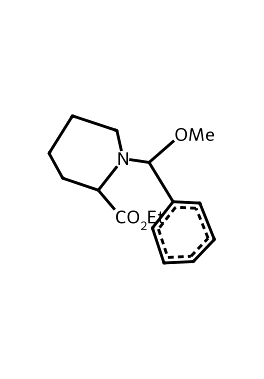 CCOC(=O)C1CCCCN1C(OC)c1ccccc1